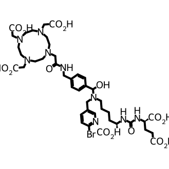 O=C(O)CC[C@@H](NC(=O)N[C@H](CCCCN(Cc1ccc(Br)nc1)C(O)c1ccc(CNC(=O)CN2CCN(CC(=O)O)CCN(CC(=O)O)CCN(CC(=O)O)CC2)cc1)C(=O)O)C(=O)O